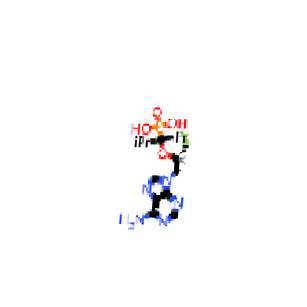 CC(C)C(O[C@H](CF)Cn1cnc2c(N)ncnc21)(C(C)C)P(=O)(O)O